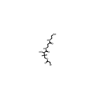 CC(C)(COC(=O)CBr)C(O)C(=O)NCCC(=O)NCCS